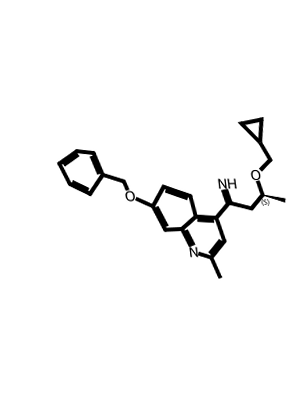 Cc1cc(C(=N)C[C@H](C)OCC2CC2)c2ccc(OCc3ccccc3)cc2n1